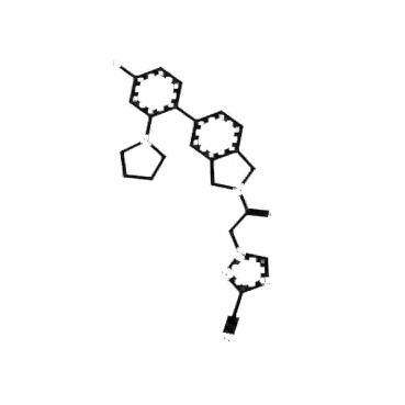 N#Cc1ncn(CC(=O)N2Cc3ccc(-c4ccc(F)cc4N4CCCC4)cc3C2)n1